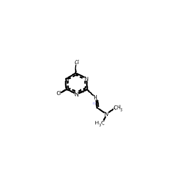 CN(C)/C=N/c1nc(Cl)cc(Cl)n1